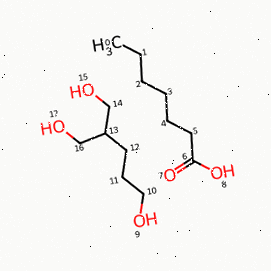 CCCCCCC(=O)O.OCCCC(CO)CO